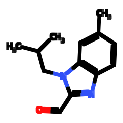 Cc1ccc2nc(C=O)n(CC(C)C)c2c1